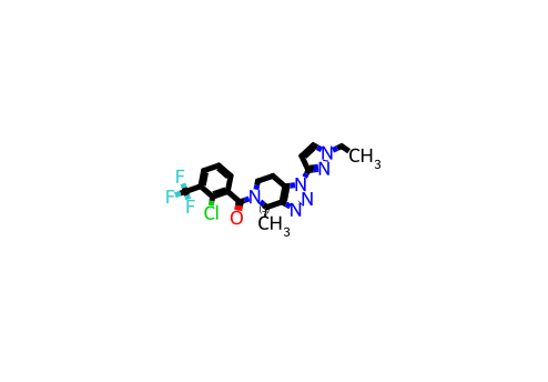 CCn1ccc(-n2nnc3c2CCN(C(=O)c2cccc(C(F)(F)F)c2Cl)[C@H]3C)n1